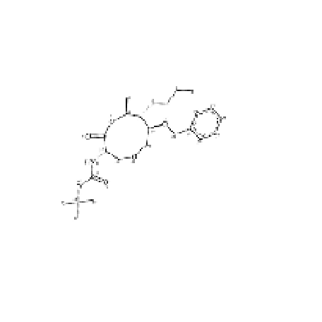 CCCC[C@H]1[C@H](C)OC(=O)[C@@H](NC(=O)OC(C)(C)C)COC[C@@H]1OCc1ccccc1